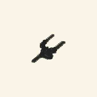 CCCCCCCCCCCCSSSCC(CC)OC(=O)CCN(CCC(=O)OC(CC)CSSSCCCCCCCCCCCC)CCN(C)CCN(CCC(=O)OC(CC)CSSSCCCCCCCCCCCC)CCC(=O)OC(CC)CSSSCCCCCCCCCCCC